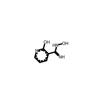 N=C(NO)c1cccnc1O